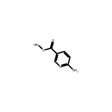 CCCCOC(=O)c1ccc(N)nc1